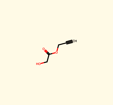 C#CCOC(=O)CO